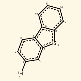 [2H]c1ccc2c(c1)sc1ccccc12